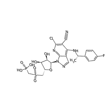 C[C@H](Nc1c(C#N)c(Cl)nc2c1cnn2[C@H]1O[C@H](CS(=O)(=O)CP(=O)(O)O)[C@@H](O)[C@H]1O)c1ccc(F)cc1